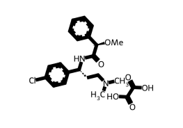 CO[C@@H](C(=O)N[C@H](CCN(C)C)c1ccc(Cl)cc1)c1ccccc1.O=C(O)C(=O)O